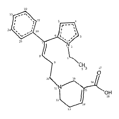 CCn1cccc1C(=CCCN1CCC=C(C(=O)O)C1)c1ccccc1